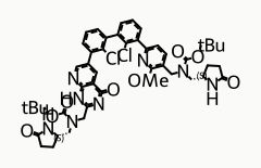 COc1nc(-c2cccc(-c3cccc(-c4cnc5[nH]c(CN(C[C@@H]6CCC(=O)N6)C(=O)OC(C)(C)C)nc(=O)c5c4)c3Cl)c2Cl)ccc1CN(C[C@@H]1CCC(=O)N1)C(=O)OC(C)(C)C